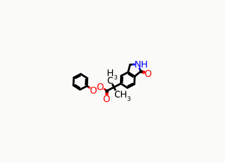 CC(C)(C(=O)OOc1ccccc1)c1ccc2c(c1)CNC2=O